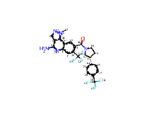 Cn1ncc2c(N)nc3cc(C(F)(F)F)c(C(=O)N4CC[C@H](c5ccc(C(F)(F)F)cc5)C4)cc3c21